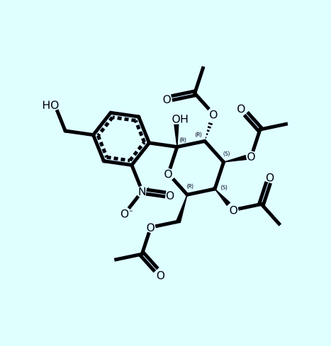 CC(=O)OC[C@H]1O[C@](O)(c2ccc(CO)cc2[N+](=O)[O-])[C@H](OC(C)=O)[C@@H](OC(C)=O)[C@H]1OC(C)=O